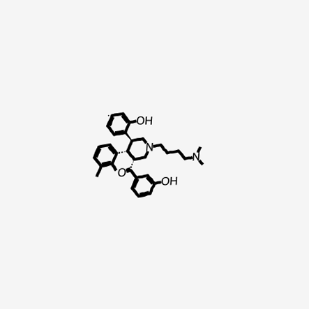 Cc1cccc([C@H]2[C@@H](C(=O)c3cccc(O)c3)CN(CCCCN(C)C)C[C@@H]2c2cc[c]cc2O)c1C